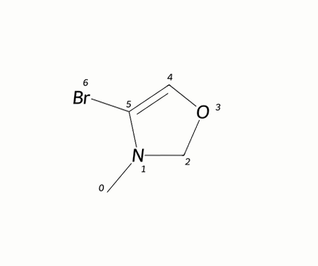 CN1COC=C1Br